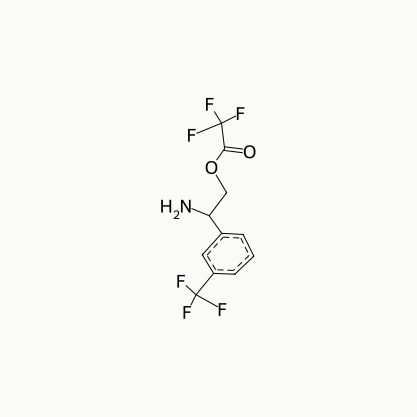 NC(COC(=O)C(F)(F)F)c1cccc(C(F)(F)F)c1